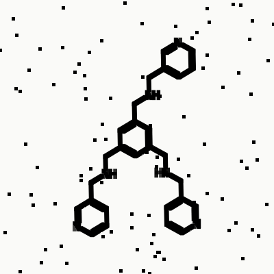 c1cncc(CNCc2cc(CNCc3cccnc3)cc(CNCc3cccnc3)c2)c1